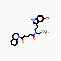 CCOC(=O)CN(CCc1c[nH]c2ccc(O)cc12)C(=O)CCCC(=O)N1CCCC2CCCC=C21